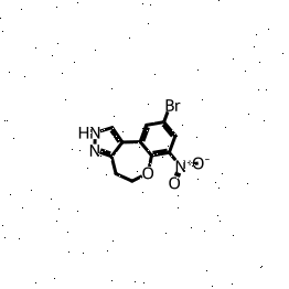 O=[N+]([O-])c1cc(Br)cc2c1OCCc1n[nH]cc1-2